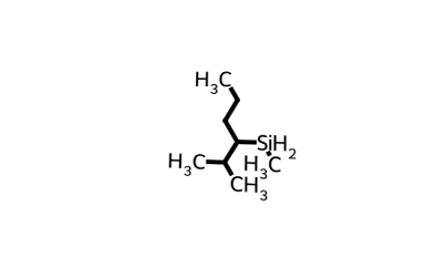 CCCC([SiH2]C)C(C)C